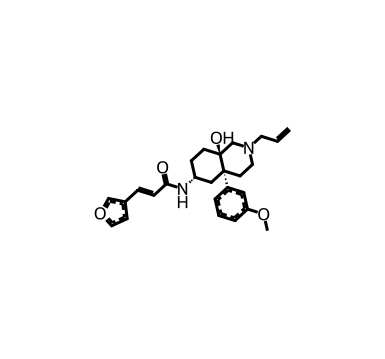 C=CCN1CC[C@@]2(c3cccc(OC)c3)C[C@H](NC(=O)/C=C/c3ccoc3)CC[C@]2(O)C1